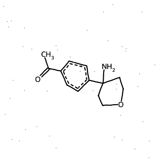 CC(=O)c1ccc(C2(N)CCOCC2)cc1